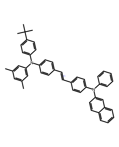 Cc1cc(C)cc(N(c2ccc(/C=C/c3ccc(N(c4ccccc4)c4ccc5ccccc5c4)cc3)cc2)c2ccc(C(C)(C)C)cc2)c1